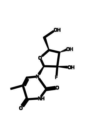 Cc1cn([C@H]2O[C@@H](CO)[C@H](O)[C@]2(O)F)c(=O)[nH]c1=O